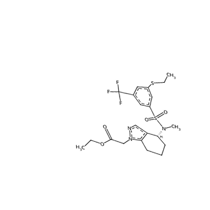 CCOC(=O)Cn1ncc2c1CCC[C@H]2N(C)S(=O)(=O)c1cc(SCC)cc(C(F)(F)F)c1